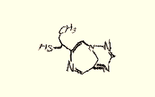 CC(S)c1cn2ncnc2cn1